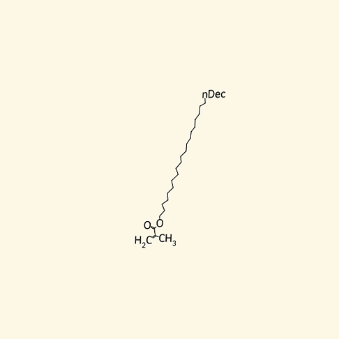 C=C(C)C(=O)OCCCCCCCCCCCCCCCCCCCCCCCCCCCCCC